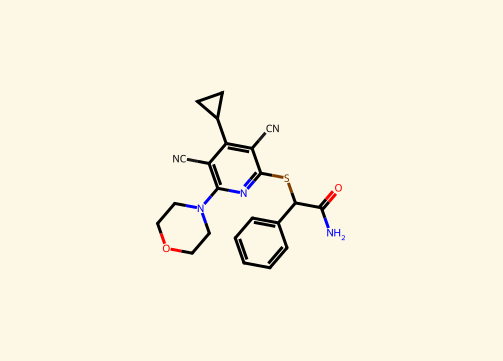 N#Cc1c(SC(C(N)=O)c2ccccc2)nc(N2CCOCC2)c(C#N)c1C1CC1